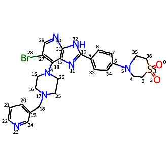 O=S1(=O)CCN(c2ccc(-c3nc4c(N5CCN(Cc6cccnc6)CC5)c(Br)cnc4[nH]3)cc2)CC1